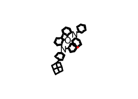 c1ccc(N(c2ccccc2)c2cccc3c2oc2c(N(c4ccccc4)c4ccc(C56CC7CC8CC(C5)C876)cc4)cccc23)cc1